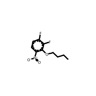 CCCCOc1c([N+](=O)[O-])ccc(F)c1F